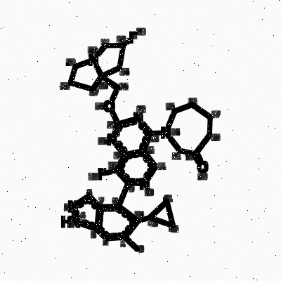 Cc1cc2[nH]ncc2c(-c2ncc3c(N4CCCCC(=O)C4)nc(OC[C@@]45CCCN4C[C@H](F)C5)nc3c2F)c1C1CC1